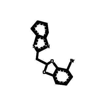 Brc1cccc2c1OC(Cc1nc3ccccc3s1)O2